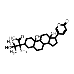 CC12CCC(C(N)(C(=O)O)C(C)(C)O)CC1CCC1C2CCC2(C)C(c3ccc(=O)oc3)CCC12